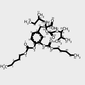 CCCCCOC(=O)Oc1ccc(C[C@](NC(C)CC)(OC(=O)OC(C)C(C)C)C(=O)O)cc1OC(=O)OCCCCC